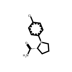 NC(=O)[C@H]1CCCN1c1ccc(Cl)cc1